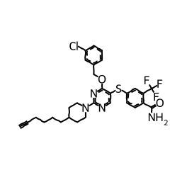 C#CCCCCC1CCN(c2ncc(Sc3ccc(C(N)=O)c(C(F)(F)F)c3)c(OCc3cccc(Cl)c3)n2)CC1